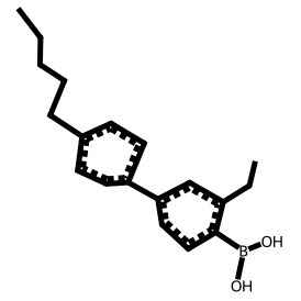 CCCCCc1ccc(-c2ccc(B(O)O)c(CC)c2)cc1